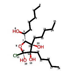 CCCCCC(O)[C@H]1O[C@](O)(Cl)[C@@](O)(CCCCC)[C@@]1(O)CCCCC